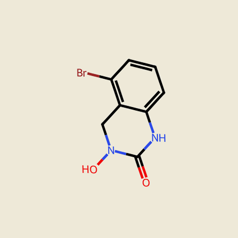 O=C1Nc2cccc(Br)c2CN1O